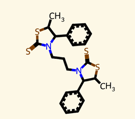 CC1SC(=S)N(CCCN2C(=S)SC(C)C2c2ccccc2)C1c1ccccc1